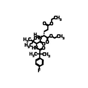 CCOC(=O)CC[C@@H](NC(=O)[C@@H](NC(=O)C(C)(C)c1ccc(F)cc1)C(C)(C)C)C(=O)OCC